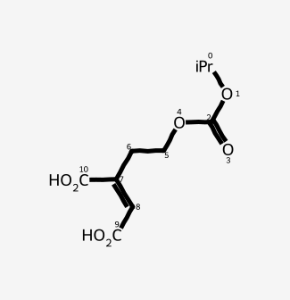 CC(C)OC(=O)OCCC(=CC(=O)O)C(=O)O